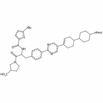 CCCCCC1CCC(C2CC=C(c3cnc(-c4ccc(CC(NC(=O)c5ccc(C(C)(C)C)s5)C(=O)N5CCC(C(=O)O)C5)cc4)nc3)CC2)CC1